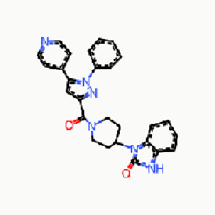 O=C(c1cc(-c2ccncc2)n(-c2ccccc2)n1)N1CCC(n2c(=O)[nH]c3ccccc32)CC1